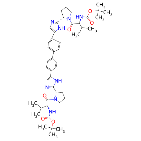 CC(C)[C@H](NC(=O)OC(C)(C)C)C(=O)N1CCCC1c1ncc(-c2ccc(-c3ccc(-c4cnc([C@@H]5CCCN5C(=O)[C@@H](NC(=O)OC(C)(C)C)C(C)C)[nH]4)cc3)cc2)[nH]1